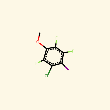 COc1c(F)c(F)c(I)c(Cl)c1F